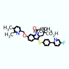 Cc1ccc(COc2ccc3c(Sc4ccc(-c5ccc(F)cn5)cc4)c(CC(C)(C)C(=O)O)n(C(=O)C(C)(C)C)c3c2)nc1C